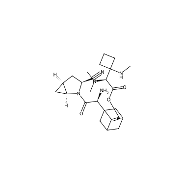 CNC1([C@@H](C(=O)OC2=C3C4CC(C2)CC3([C@H](N)C(=O)N2[C@H](C#N)C[C@@H]3C[C@@H]32)C4)N(C)C)CCC1